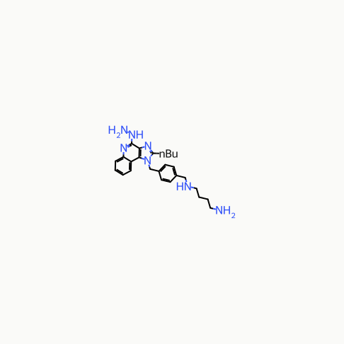 CCCCc1nc2c(NN)nc3ccccc3c2n1Cc1ccc(CNCCCCN)cc1